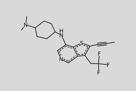 CC#Cc1sc2c(NC3CCC(N(C)C)CC3)cncc2c1CC(F)(F)F